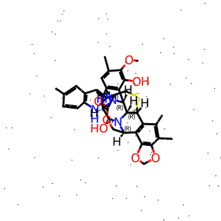 COc1c(C)cc2c(c1O)[C@@H]1[C@@H]3[C@@H]4SC[C@]5(NCCc6c5[nH]c5ccc(C)cc65)C(=O)OC[C@@H](c5c6c(c(C)c(C)c54)OCO6)N3[C@@H](O)[C@@H](C2)N1C